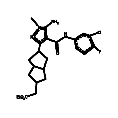 CCOC(=O)CC1CC2CC(c3nn(C)c(N)c3C(=O)Nc3ccc(F)c(Cl)c3)CC2C1